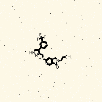 CCCN1Cc2cc(NCc3n[nH]cc3-c3cccc(C(F)(F)F)c3)ccc2C1=O